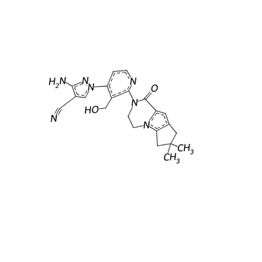 CC1(C)Cc2cc3n(c2C1)CCN(c1nccc(-n2cc(C#N)c(N)n2)c1CO)C3=O